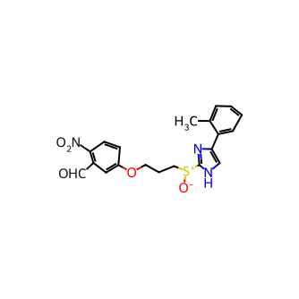 Cc1ccccc1-c1c[nH]c([S+]([O-])CCCOc2ccc([N+](=O)[O-])c(C=O)c2)n1